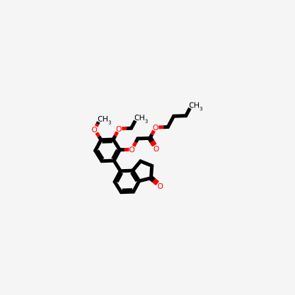 CCCCOC(=O)COc1c(-c2cccc3c2CCC3=O)ccc(OC)c1OCC